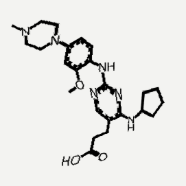 COc1cc(N2CCN(C)CC2)ccc1Nc1ncc(CCC(=O)O)c(NC2CCCC2)n1